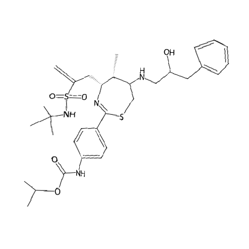 C=C(C[C@H]1N=C(c2ccc(NC(=O)OC(C)C)cc2)SCC(NCC(O)Cc2ccccc2)[C@H]1C)S(=O)(=O)NC(C)(C)C